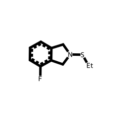 CCSN1Cc2cccc(F)c2C1